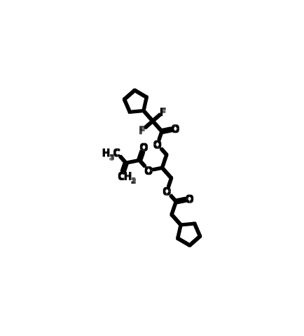 C=C(C)C(=O)OC(COC(=O)CC1CCCC1)COC(=O)C(F)(F)C1CCCC1